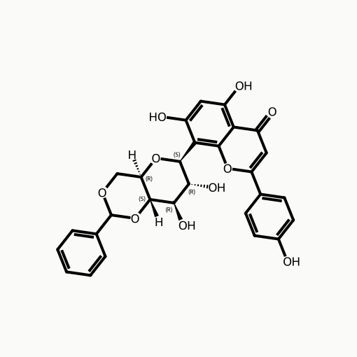 O=c1cc(-c2ccc(O)cc2)oc2c([C@@H]3O[C@@H]4COC(c5ccccc5)O[C@H]4[C@H](O)[C@H]3O)c(O)cc(O)c12